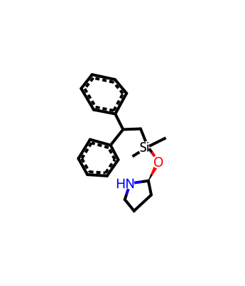 C[Si](C)(CC(c1ccccc1)c1ccccc1)O[C@H]1CCCN1